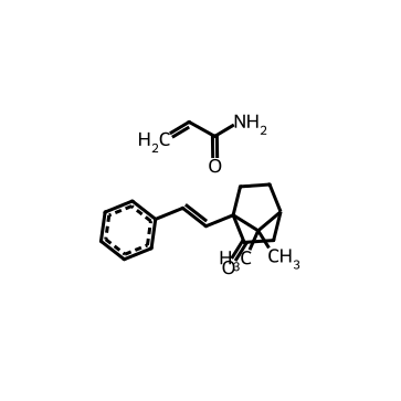 C=CC(N)=O.CC1(C)C2CCC1(C=Cc1ccccc1)C(=O)C2